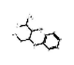 CC(O)C(O)C(CO)Oc1ccccc1